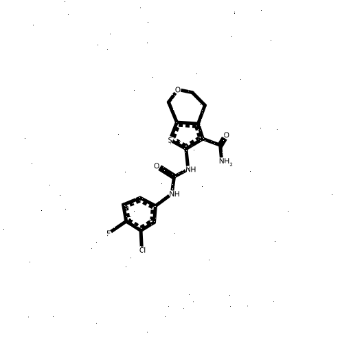 NC(=O)c1c(NC(=O)Nc2ccc(F)c(Cl)c2)sc2c1CCOC2